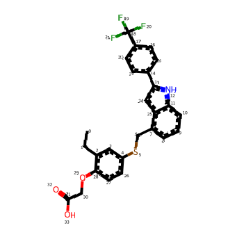 CCc1cc(SCc2cccc3[nH]c(-c4ccc(C(F)(F)F)cc4)cc23)ccc1OCC(=O)O